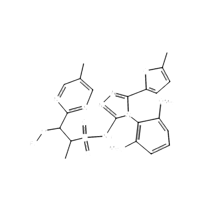 CCOC(c1ncc(C)cn1)C(C)S(=O)(=O)Nc1nnc(-c2ccc(C)o2)n1-c1c(OC)cccc1OC